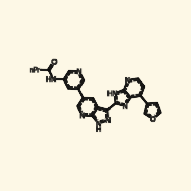 CCCC(=O)Nc1cncc(-c2cnc3[nH]nc(-c4nc5c(-c6ccoc6)ccnc5[nH]4)c3c2)c1